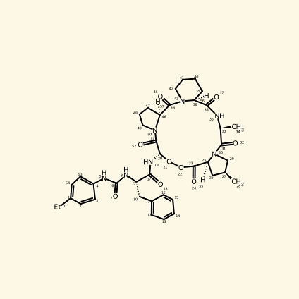 CCc1ccc(NC(=O)N[C@@H](Cc2ccccc2)C(=O)N[C@H]2COC(=O)[C@@H]3C[C@H](C)CN3C(=O)[C@H](C)NC(=O)[C@@H]3CCCCN3C(=O)[C@@H]3CCCN3C2=O)cc1